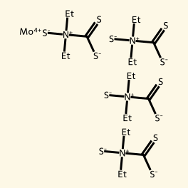 CC[N+]([S-])(CC)C(=S)[S-].CC[N+]([S-])(CC)C(=S)[S-].CC[N+]([S-])(CC)C(=S)[S-].CC[N+]([S-])(CC)C(=S)[S-].[Mo+4]